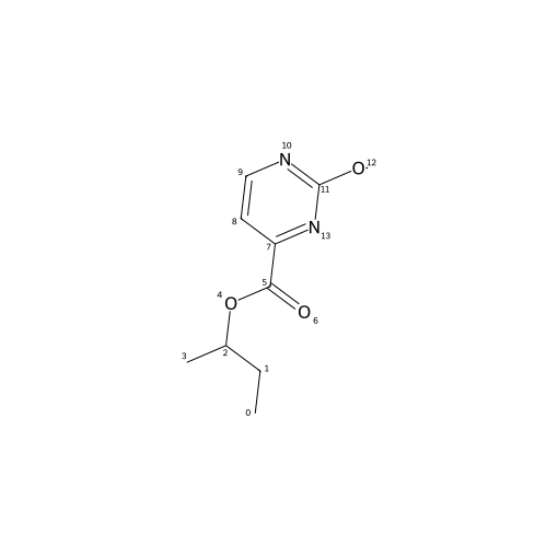 CCC(C)OC(=O)c1ccnc([O])n1